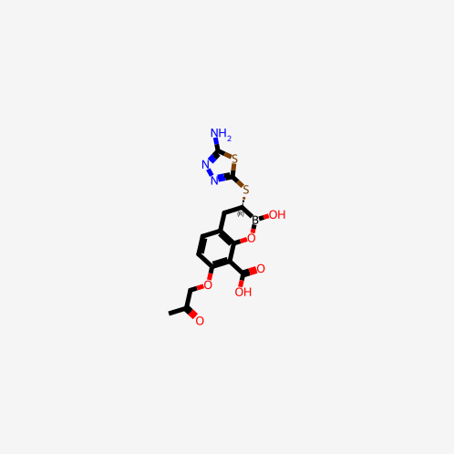 CC(=O)COc1ccc2c(c1C(=O)O)OB(O)[C@@H](Sc1nnc(N)s1)C2